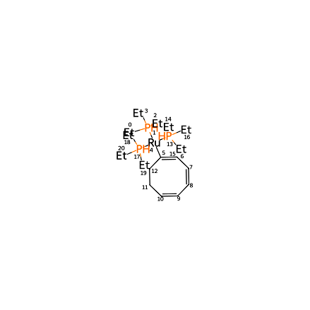 CC[PH](CC)(CC)[Ru]([C]1=CC=CC=CCC1)([PH](CC)(CC)CC)[PH](CC)(CC)CC